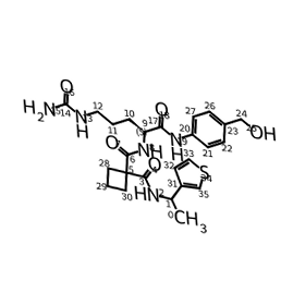 CC(NC(=O)C1(C(=O)N[C@@H](CCCNC(N)=O)C(=O)Nc2ccc(CO)cc2)CCC1)c1ccsc1